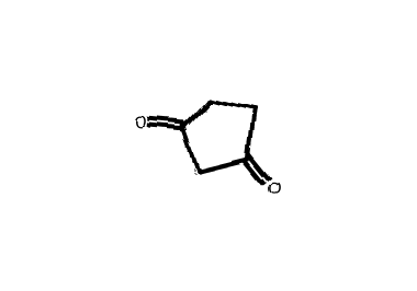 O=C1[C]C(=O)CC1